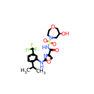 CC(C)c1ccc(C(F)(F)F)cc1Nc1nc(C(=O)NS(=O)(=O)N2CCOCC(O)C2)co1